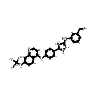 FCc1cccc(Nc2nnc(-c3ccc(Oc4ccnc5cc(OC(F)(F)F)ccc45)cc3)[nH]2)c1